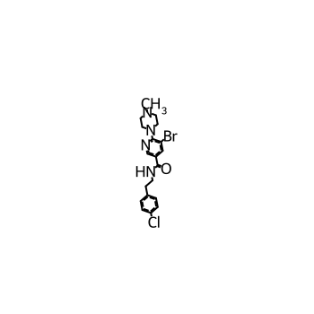 CN1CCN(c2ncc(C(=O)NCCc3ccc(Cl)cc3)cc2Br)CC1